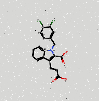 O=C(O)C=Cc1c(C(=O)O)n(Cc2ccc(Cl)c(Cl)c2)c2ccccc12